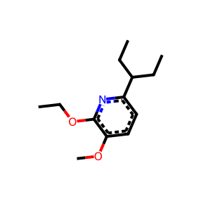 CCOc1nc(C(CC)CC)ccc1OC